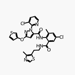 Cc1cc(Cl)cc(C(=O)NCCc2scnc2C)c1NC(=O)c1cc(Oc2ccsc2)nn1-c1ncccc1Cl